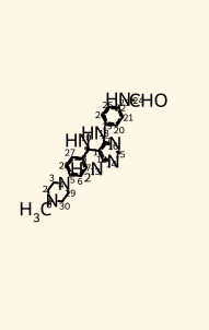 CN1CCN(c2ccc(C(=N)c3c(N)ncnc3Nc3ccc(NC=O)cc3)cc2)CC1